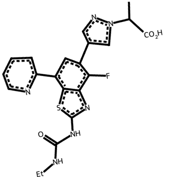 CCNC(=O)Nc1nc2c(F)c(-c3cnn(C(C)C(=O)O)c3)cc(-c3ccccn3)c2s1